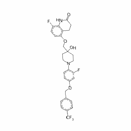 O=C1CCc2c(OCC3(O)CCN(c4ccc(OCc5ccc(C(F)(F)F)cc5)cc4F)CC3)ccc(F)c2N1